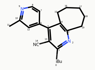 CCC(C)c1nc2c(c(-c3ccnc(C)c3)c1C#N)CCCCC2